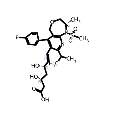 CC(C)c1nc2c(c(-c3ccc(F)cc3)c1/C=C/[C@@H](O)C[C@@H](O)CC(=O)O)COC[C@H](C)N2S(C)(=O)=O